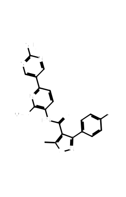 COc1nc(-c2cnc(N)nc2)ccc1NC(=O)c1c(-c2ccc(F)cc2)noc1C